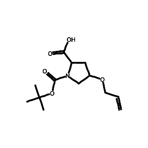 C=CCOC1CC(C(=O)O)N(C(=O)OC(C)(C)C)C1